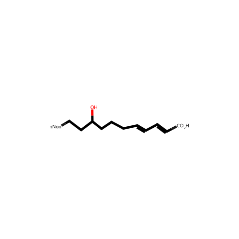 CCCCCCCCCCCC(O)CCC/C=C/C=C/C(=O)O